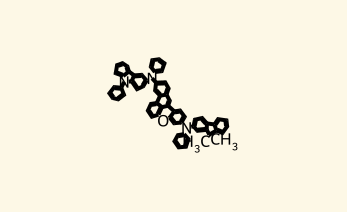 CC1(C)c2ccccc2-c2ccc(N(c3ccccc3)c3ccc4c(c3)Oc3cccc5c3c-4cc3ccc(N(c4ccccc4)c4ccc6c(c4)c4ccccc4n6-c4ccccc4)cc35)cc21